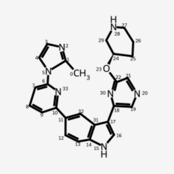 Cc1nccn1-c1cccc(-c2ccc3[nH]cc(-c4cncc(O[C@@H]5CCCNC5)n4)c3c2)n1